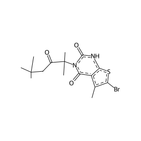 Cc1c(Br)sc2[nH]c(=O)n(C(C)(C)C(=O)CC(C)(C)C)c(=O)c12